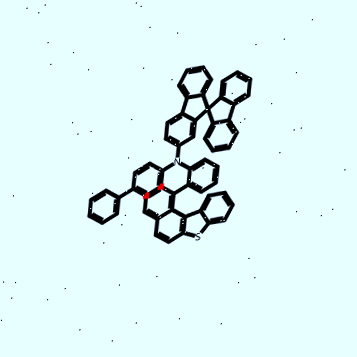 c1ccc(-c2ccc(N(c3ccc4c(c3)C3(c5ccccc5-c5ccccc53)c3ccccc3-4)c3ccccc3-c3cccc4ccc5sc6ccccc6c5c34)cc2)cc1